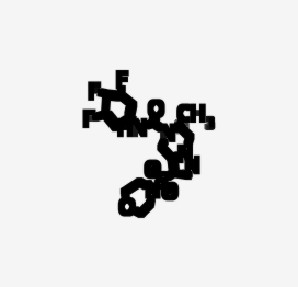 C[C@H]1Cn2ncc(S(=O)(=O)N3CCOCC3)c2CN1C(=O)Nc1cc(F)c(F)c(F)c1